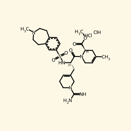 COC(=O)[C@H]1CC(C)=CCN1C(=O)[C@H](CC1=CCCN(C(=N)N)C1)NS(=O)(=O)c1ccc2c(c1)CCN(C)CC2.Cl.Cl